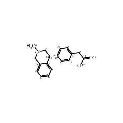 CN1Cc2ccccc2[C@@H](c2ccc(CC(=O)Cl)cc2)C1